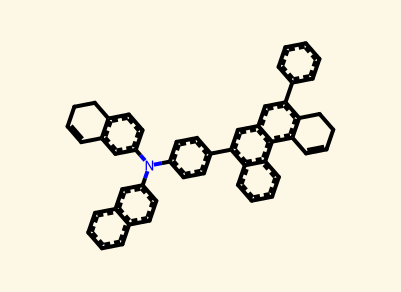 C1=Cc2cc(N(c3ccc(-c4cc5cc(-c6ccccc6)c6c(c5c5ccccc45)C=CCC6)cc3)c3ccc4ccccc4c3)ccc2CC1